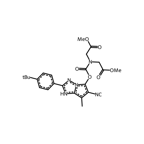 [C-]#[N+]c1c(C)c2[nH]c(-c3ccc(C(C)(C)C)cc3)nn2c1OC(=O)N(CC(=O)OC)CC(=O)OC